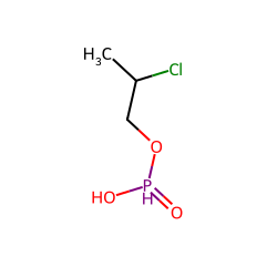 CC(Cl)CO[PH](=O)O